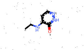 CCNc1c[c]n[nH]c1=O